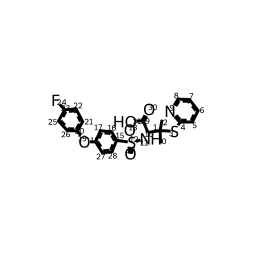 CC(C)(Sc1ccccn1)C(NS(=O)(=O)c1ccc(Oc2ccc(F)cc2)cc1)C(=O)O